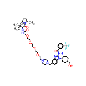 C[C@@H]1CCCN1C(=O)[C@@H](NC(=O)COCCOCCOCCOCCN1CCN(Cc2ccc3c(c2)nc(NC(=O)c2cccc(C(F)(F)F)c2)n3[C@H]2CCC[C@@H](CO)CC2)CC1)C(C)(C)C